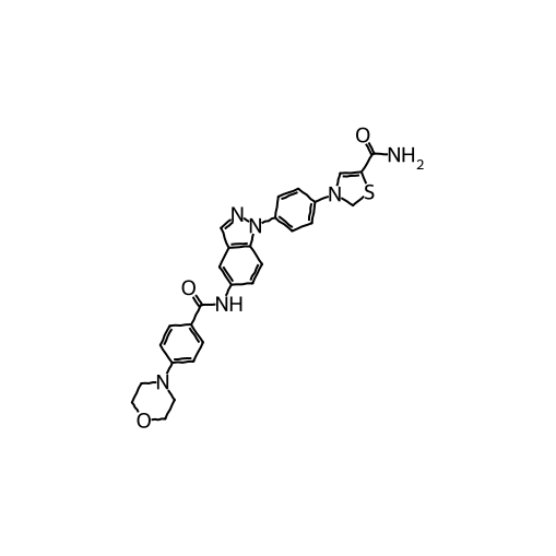 NC(=O)C1=CN(c2ccc(-n3ncc4cc(NC(=O)c5ccc(N6CCOCC6)cc5)ccc43)cc2)CS1